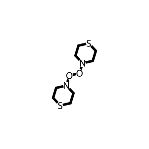 C1CN(OON2CCSCC2)CCS1